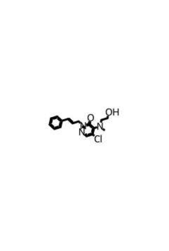 CN(CCO)c1c(Cl)cnn(CC=Cc2ccccc2)c1=O